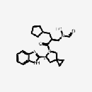 O=CN(O)CC(CC1CCCC1)C(=O)N1CC2(CC2)C[C@H]1c1nc2ccccc2[nH]1